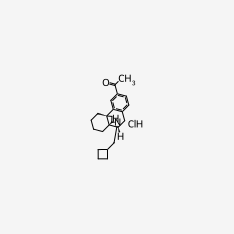 CC(=O)c1ccc2c(c1)[C@@]13CCCC[C@H]1[C@@H](C2)N(CC1CCC1)CC3.Cl